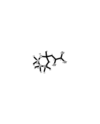 CC1(CC(Br)C(Br)Br)C[Si](C)(C)[Si](C)(C)[Si](C)(C)O1